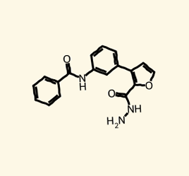 NNC(=O)c1occc1-c1cccc(NC(=O)c2ccccc2)c1